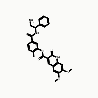 COc1cc2cc(C(=O)Nc3cc(C(=O)NC(CN)c4ccccc4)ccc3C)c(=O)[nH]c2cc1OC